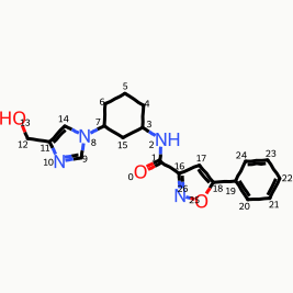 O=C(NC1CCCC(n2cnc(CO)c2)C1)c1cc(-c2ccccc2)on1